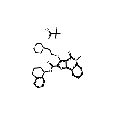 Cn1c(=O)c2c(OCCN3CCOCC3)c(C(=O)NC3CCCc4ccccc43)sc2c2ccccc21.O=C(O)C(F)(F)F